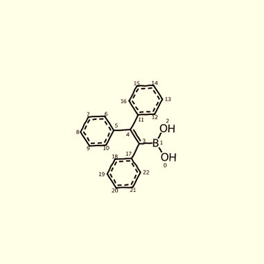 OB(O)C(=C(c1ccccc1)c1ccccc1)c1ccccc1